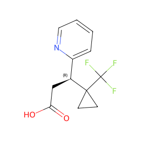 O=C(O)C[C@@H](c1ccccn1)C1(C(F)(F)F)CC1